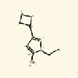 CCn1nc(C2CCC2)cc1N